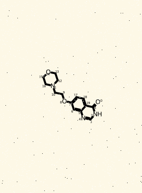 O=c1[nH]cnc2cc(OCCN3CCOCC3)ccc12